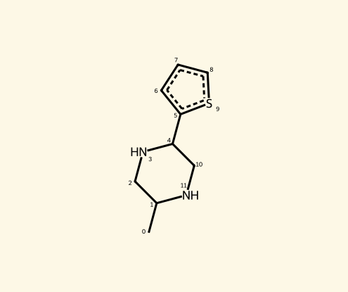 CC1CNC(c2cccs2)CN1